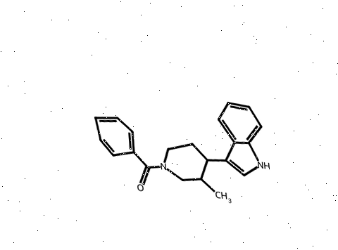 CC1CN(C(=O)c2ccccc2)CCC1c1c[nH]c2ccccc12